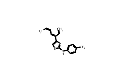 C=C/C(=C\C=C/C)c1csc(Nc2ccc(C(F)(F)F)cc2)n1